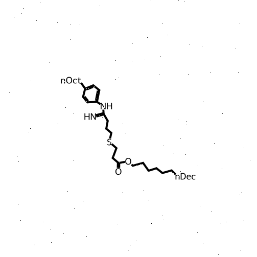 CCCCCCCCCCCCCCCCOC(=O)CCSCCCC(=N)Nc1ccc(CCCCCCCC)cc1